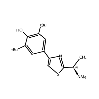 CN[C@H](C)c1nc(-c2cc(C(C)(C)C)c(O)c(C(C)(C)C)c2)cs1